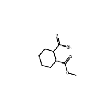 COC(=O)N1CCCCC1C(=O)O